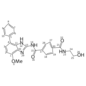 COc1ccc(-c2ccccc2)c2[nH]c(NC(=O)c3ccc(C(=O)NCCO)cc3)nc12